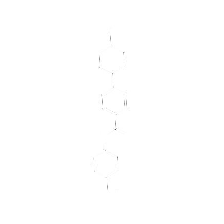 CCCCCCCc1ccc(OC(=O)c2ccc(C3CCC(CCCCC)CC3)cc2)cc1